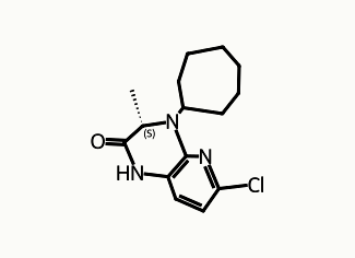 C[C@H]1C(=O)Nc2ccc(Cl)nc2N1C1CCCCCC1